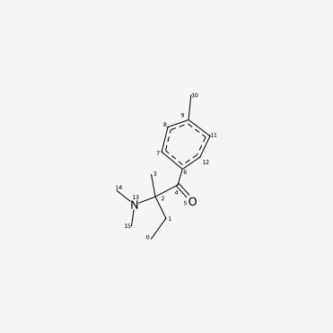 CCC(C)(C(=O)c1ccc(C)cc1)N(C)C